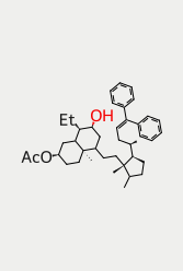 CC[C@@H]1C2C[C@H](OC(C)=O)CC[C@]2(C)C(CC[C@@]2(C)C(C)CC[C@@H]2[C@H](C)CC=C(c2ccccc2)c2ccccc2)C[C@@H]1O